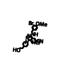 COc1ccc(CNc2nnc(N3CCC(CCO)CC3)c3ccc(C#N)cc23)cc1Br.Cl